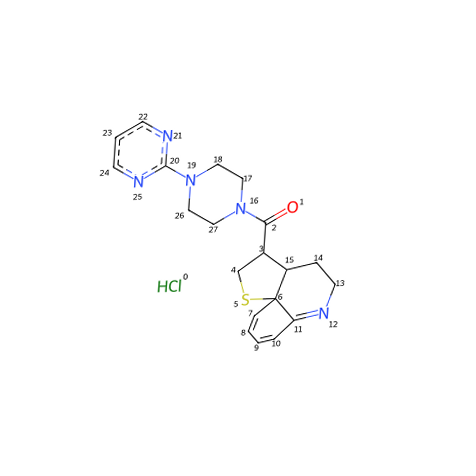 Cl.O=C(C1CSC23C=CC=CC2=NCCC13)N1CCN(c2ncccn2)CC1